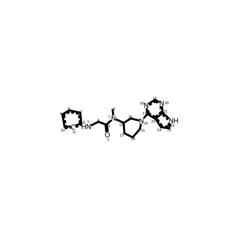 CN(C(=O)CNc1ccccc1)C1CCCN(c2ncnc3[nH]ccc23)C1